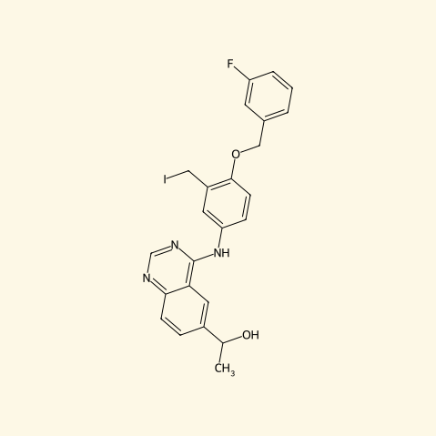 CC(O)c1ccc2ncnc(Nc3ccc(OCc4cccc(F)c4)c(CI)c3)c2c1